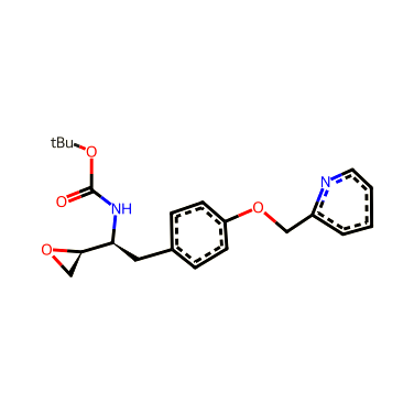 CC(C)(C)OC(=O)N[C@@H](Cc1ccc(OCc2ccccn2)cc1)[C@H]1CO1